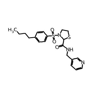 CCCCc1ccc(S(=O)(=O)N2CCSC2C(=O)NCc2cccnc2)cc1